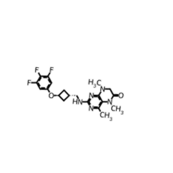 Cc1nc(NC[C@H]2C[C@H](Oc3cc(F)c(F)c(F)c3)C2)nc2c1N(C)C(=O)CN2C